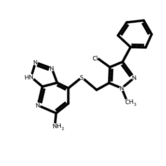 Cn1nc(-c2ccccc2)c(Cl)c1CSc1cc(N)nc2[nH]nnc12